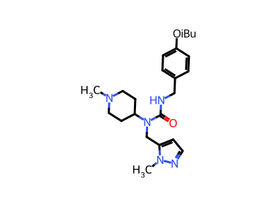 CC(C)COc1ccc(CNC(=O)N(Cc2ccnn2C)C2CCN(C)CC2)cc1